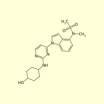 CN(c1cccc2c1ccn2-c1ccnc(NC2CCC(O)CC2)n1)S(C)(=O)=O